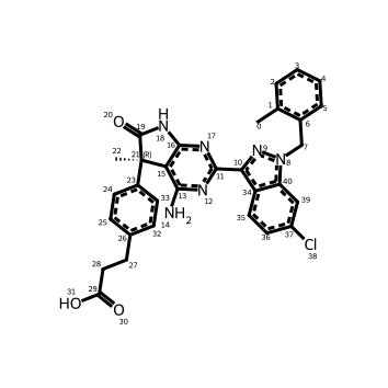 Cc1ccccc1Cn1nc(-c2nc(N)c3c(n2)NC(=O)[C@]3(C)c2ccc(CCC(=O)O)cc2)c2ccc(Cl)cc21